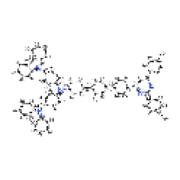 Cc1ccc(-c2cc(-c3ccc(-c4ccc(-c5ccc(-n6c7ccc(-n8c9ccccc9c9ccccc98)cc7c7cc(-n8c9ccccc9c9ccccc98)ccc76)cc5)c(C)c4)cc3)nc(-c3ccc(C)cc3)n2)cc1